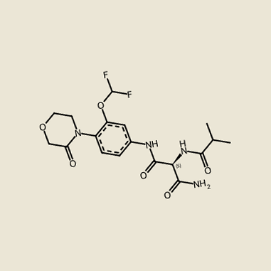 CC(C)C(=O)N[C@@H](C(N)=O)C(=O)Nc1ccc(N2CCOCC2=O)c(OC(F)F)c1